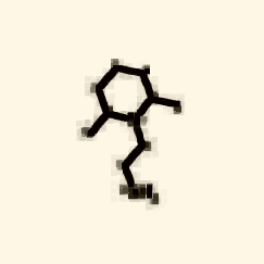 CC1CCCC(C)N1CC[SiH3]